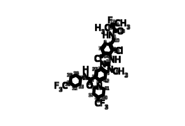 Cn1c(Nc2c(Cl)ccc(CNC(=O)C(C)(C)F)c2Cl)nc2cc(C(=O)N[C@H]3CC[C@@H](C(F)(F)F)CC3)c(N3CCC(C(F)(F)F)CC3)cc21